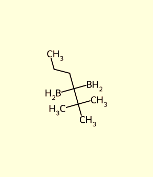 BC(B)(CCC)C(C)(C)C